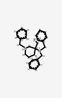 FCC1(N(Cc2ccccc2)Cc2ccccc2)CCCN(Cc2ccccc2)C1